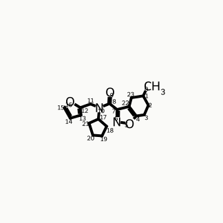 CC1CCc2onc(C(=O)N(Cc3ccco3)C3CCCC3)c2C1